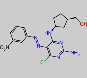 Nc1nc(Cl)c(/N=N/c2cccc([N+](=O)[O-])c2)c(N[C@H]2CC[C@@H](CO)C2)n1